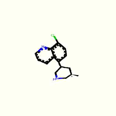 C[C@H]1CNCC(c2ccc(Cl)c3ncccc23)C1